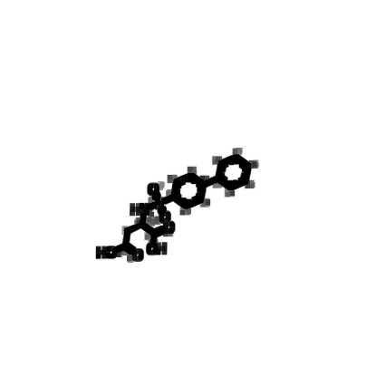 O=C(O)C[C@@H](NS(=O)(=O)c1ccc(-c2ccccc2)cc1)C(=O)O